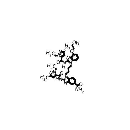 CCn1nc(C)cc1C(=O)Nc1nc2cc(C(N)=O)ccc2n1CCCCn1c(NC(=O)c2cc(C)nn2CC)nc2c(OCCO)cccc21